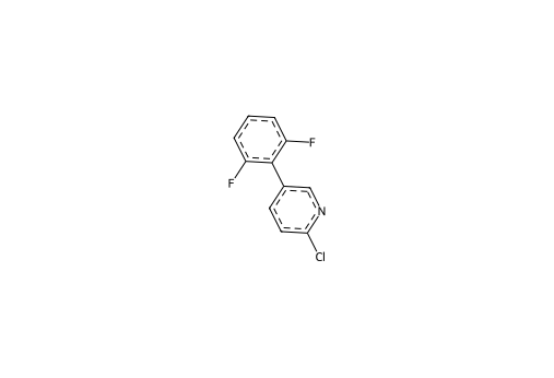 Fc1cccc(F)c1-c1ccc(Cl)nc1